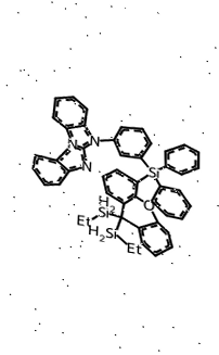 CC[SiH2]C1([SiH2]CC)c2ccccc2Oc2c1cccc2[Si](c1ccccc1)(c1ccccc1)c1cccc(-n2c3ccccc3n3c4ccccc4nc23)c1